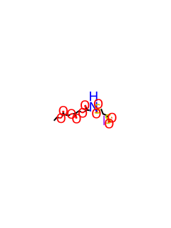 CCOC(=O)COC(=O)COC(=O)CNS(=O)(=O)CCCS(=O)(=O)I